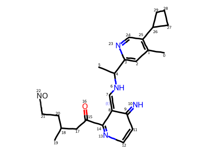 Cc1cc(C(C)N/C=C2\C(=N)C=CN=C2C(=O)CC(C)CCN=O)ncc1C1CCC1